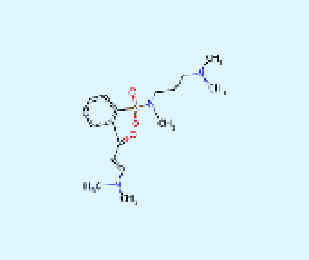 CN(C)C=CC(=O)c1ccccc1S(=O)(=O)N(C)CCCN(C)C